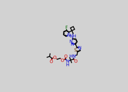 CC(C)C(=O)OCCOC(=O)NC(C)(C)C(=O)NCc1cnc(-c2ccc(NCC3(c4ncccc4F)CCC3)nn2)s1